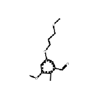 COCCCOc1cc(C=O)c(C)c(OC)c1